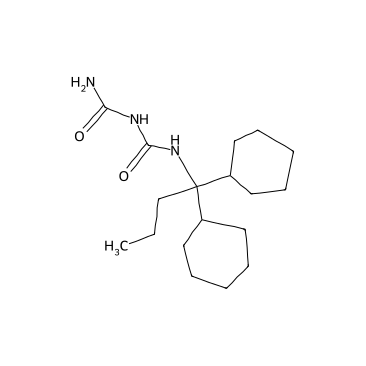 CCCC(NC(=O)NC(N)=O)(C1CCCCC1)C1CCCCC1